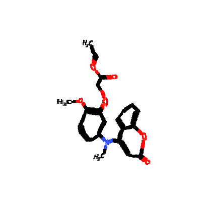 CCOC(=O)COc1cc(N(C)c2cc(=O)oc3ccccc23)ccc1OC